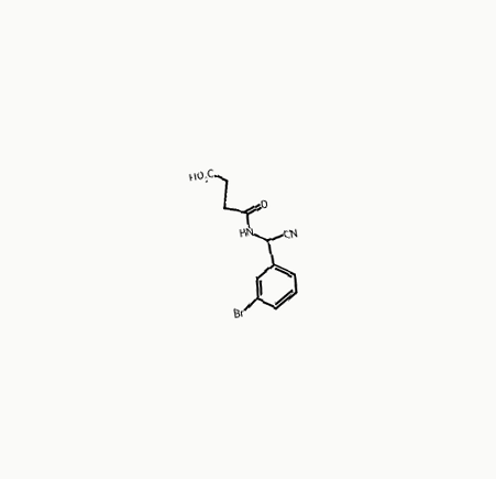 N#CC(NC(=O)CCC(=O)O)c1cccc(Br)c1